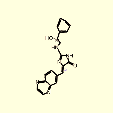 O=C1NC(NC[C@H](O)c2ccccc2)=N/C1=C\c1ccc2nccnc2c1